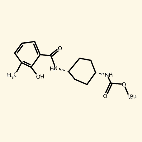 Cc1cccc(C(=O)N[C@H]2CC[C@@H](NC(=O)OC(C)(C)C)CC2)c1O